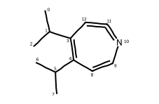 CC(C)C1=C(C(C)C)C=CN=C=C1